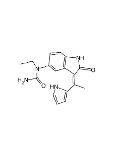 CCN(C(N)=O)c1ccc2c(c1)C(=C(C)c1ccc[nH]1)C(=O)N2